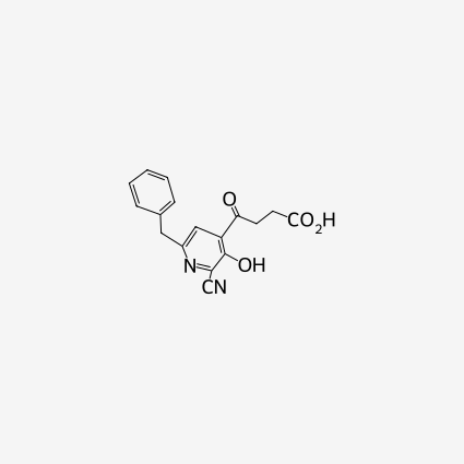 N#Cc1nc(Cc2ccccc2)cc(C(=O)CCC(=O)O)c1O